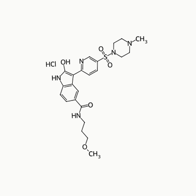 COCCCNC(=O)c1ccc2[nH]c(O)c(-c3ccc(S(=O)(=O)N4CCN(C)CC4)cn3)c2c1.Cl